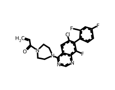 C=CC(=O)N1CCN(c2ncnc3c(F)c(-c4ccc(F)cc4F)c(Cl)cc23)CC1